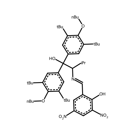 CCCCOc1c(C(C)(C)C)cc(C(O)(c2cc(C(C)(C)C)c(OCCCC)c(C(C)(C)C)c2)C(N=Cc2cc([N+](=O)[O-])cc([N+](=O)[O-])c2O)C(C)C)cc1C(C)(C)C